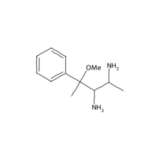 COC(C)(c1ccccc1)C(N)C(C)N